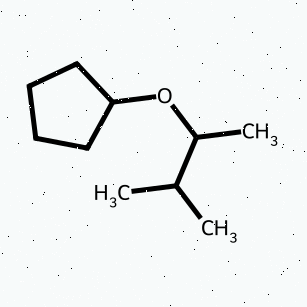 CC(C)C(C)OC1CCCC1